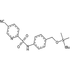 CC(C)(C)[Si](C)(C)OCc1ccc(NS(=O)(=O)c2ccc(C#N)cn2)cc1